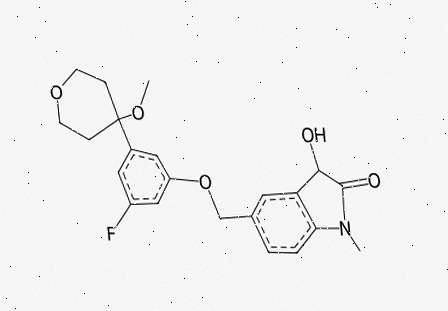 COC1(c2cc(F)cc(OCc3ccc4c(c3)C(O)C(=O)N4C)c2)CCOCC1